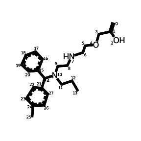 C=C(O)COCCNCCN(CCC)C(c1ccccc1)c1ccc(C)cc1